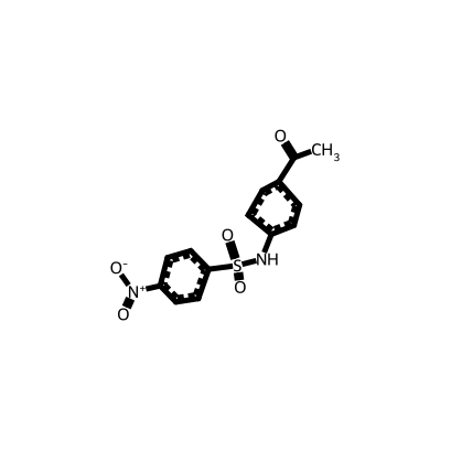 CC(=O)c1ccc(NS(=O)(=O)c2ccc([N+](=O)[O-])cc2)cc1